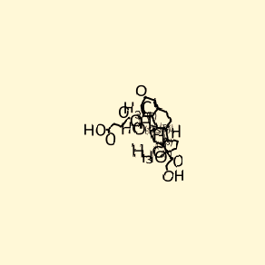 C[C@@]12C(=CC(=O)C=C1OC(=O)CCC(=O)O)CC[C@@H]1[C@@H]2[C@@H](O)C[C@@]2(C)[C@H]1CC[C@]2(O)C(=O)CO